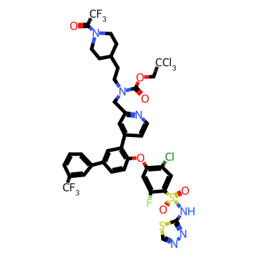 O=C(OCC(Cl)(Cl)Cl)N(CCC1CCN(C(=O)C(F)(F)F)CC1)Cc1cc(-c2cc(-c3cccc(C(F)(F)F)c3)ccc2Oc2cc(F)c(S(=O)(=O)Nc3nncs3)cc2Cl)ccn1